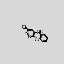 Clc1cc(Nc2ccccc2)c(Cl)nn1